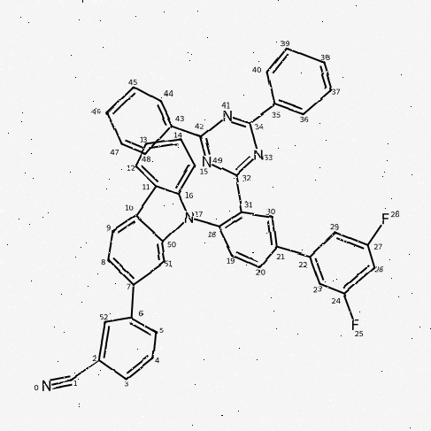 N#Cc1cccc(-c2ccc3c4ccccc4n(-c4ccc(-c5cc(F)cc(F)c5)cc4-c4nc(-c5ccccc5)nc(-c5ccccc5)n4)c3c2)c1